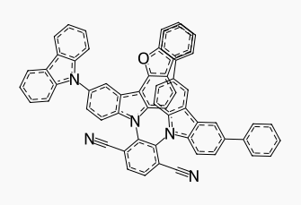 N#Cc1ccc(C#N)c(-n2c3ccc(-n4c5ccccc5c5ccccc54)cc3c3c4oc5ccccc5c4ccc32)c1-n1c2ccc(-c3ccccc3)cc2c2cc(-c3ccccc3)ccc21